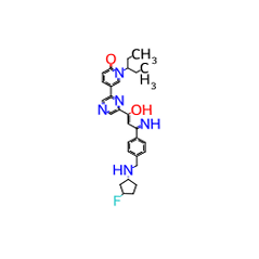 CCC(CC)n1cc(-c2cncc(/C(O)=C/C(=N)c3ccc(CN[C@@H]4CCC(F)C4)cc3)n2)ccc1=O